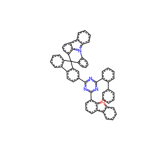 c1ccc(-c2ccccc2-c2nc(-c3ccc4c(c3)C3(c5ccccc5-4)c4ccccc4-n4c5ccccc5c5cccc3c54)nc(-c3cccc4c3oc3ccccc34)n2)cc1